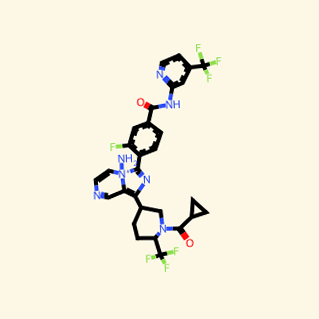 N[N+]12C=CN=CC1=C(C1CCC(C(F)(F)F)N(C(=O)C3CC3)C1)N=C2c1ccc(C(=O)Nc2cc(C(F)(F)F)ccn2)cc1F